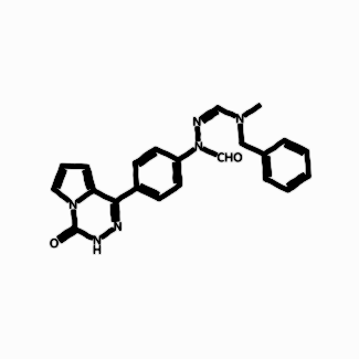 CN(/C=N\N(C=O)c1ccc(-c2n[nH]c(=O)n3cccc23)cc1)Cc1ccccc1